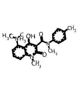 Cc1ccc(N(C)C(=O)c2c(O)c3c(N(C)C)cccc3n(C)c2=O)cc1